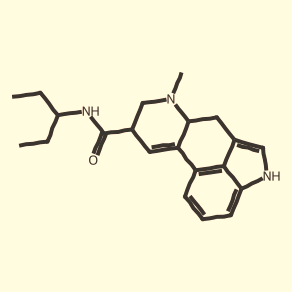 CCC(CC)NC(=O)C1C=C2c3cccc4[nH]cc(c34)CC2N(C)C1